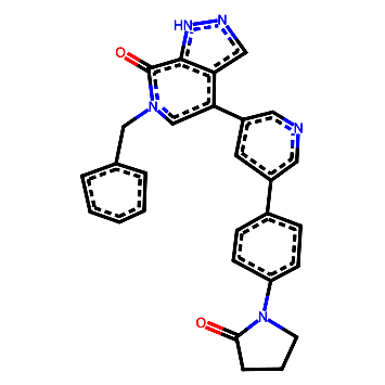 O=C1CCCN1c1ccc(-c2cncc(-c3cn(Cc4ccccc4)c(=O)c4[nH]ncc34)c2)cc1